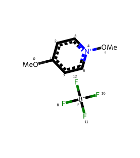 COc1cc[n+](OC)cc1.F[B-](F)(F)F